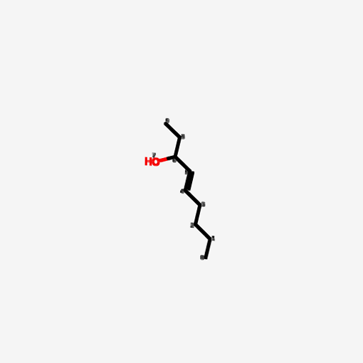 CCCC/C=C/C(O)CC